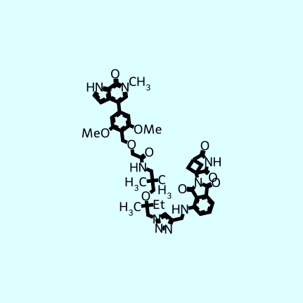 CCC(C)(Cn1cc(CNc2cccc3c2C(=O)N(C24CC(C2)C(=O)NC4=O)C3=O)nn1)OCC(C)(C)CNC(=O)COCc1c(OC)cc(-c2cn(C)c(=O)c3[nH]ccc23)cc1OC